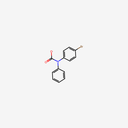 [O]C(=O)N(c1ccccc1)c1ccc(Br)cc1